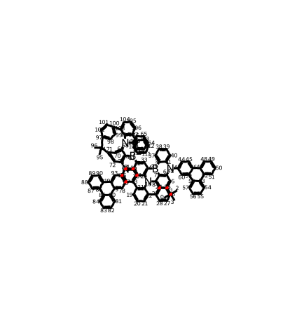 CC(C)(C)c1cc2c3c(c1)N(c1c(-c4ccccc4)cccc1-c1ccccc1)c1cc4c(cc1B3c1ccccc1N2c1ccc2c3ccccc3c3ccccc3c2c1)B1c2ccccc2N2c3cc(cc(c31)N4c1ccc3c4ccccc4c4ccccc4c3c1)C(C)(C)c1ccc(cc1)-c1cccc(-c3ccccc3)c12